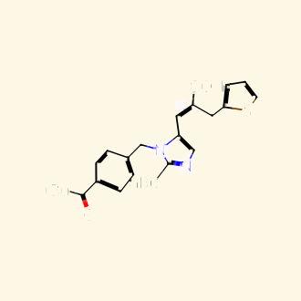 CCCCc1ncc(/C=C(\Cc2cccs2)C(=O)O)n1Cc1ccc(C(=O)C(C)(C)C)cc1